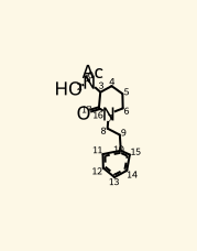 CC(=O)N(O)C1CCCN(CCc2ccccc2)C1=O